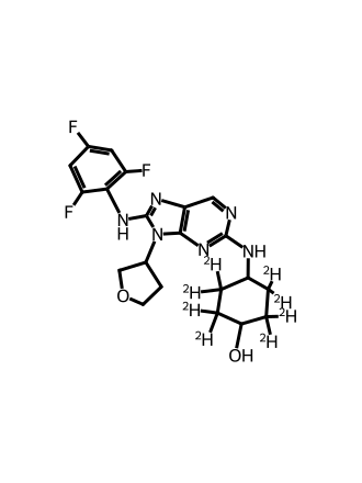 [2H]C1([2H])C(O)C([2H])([2H])C([2H])([2H])C(Nc2ncc3nc(Nc4c(F)cc(F)cc4F)n(C4CCOC4)c3n2)C1([2H])[2H]